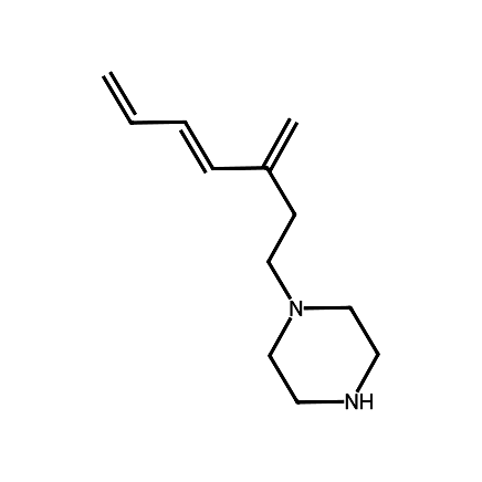 C=CC=CC(=C)CCN1CCNCC1